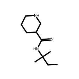 CCC(C)(C)NC(=O)C1CCCNC1